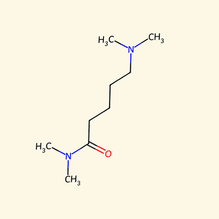 CN(C)CCCCC(=O)N(C)C